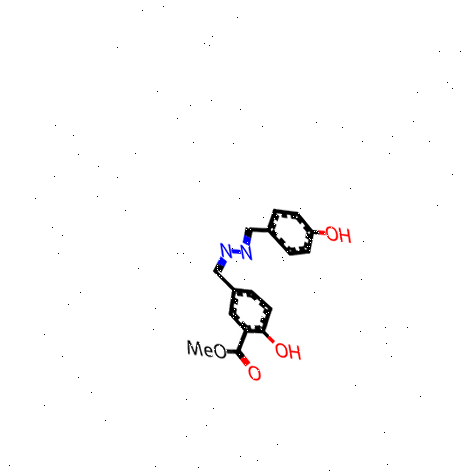 COC(=O)c1cc(/C=N\N=C\c2ccc(O)cc2)ccc1O